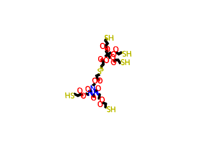 O=C(CCS)OCCn1c(=O)n(CCOC(=O)CCS)c(=O)n(CCOC(=O)CCSSCCC(=O)OCC(COC(=O)CCS)(COC(=O)CCS)COC(=O)CCS)c1=O